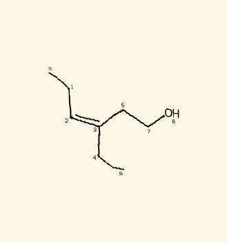 CCC=C(CC)CCO